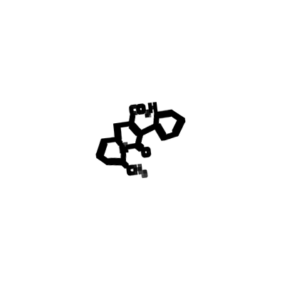 Cc1cccc2cc(C(=O)O)c(-c3ccccc3)c(=O)n12